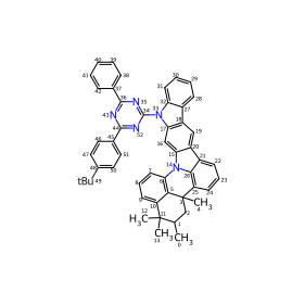 CC1CC2(C)c3c(cccc3C1(C)C)-n1c3cc4c(cc3c3cccc2c31)c1ccccc1n4-c1nc(-c2ccccc2)nc(-c2ccc(C(C)(C)C)cc2)n1